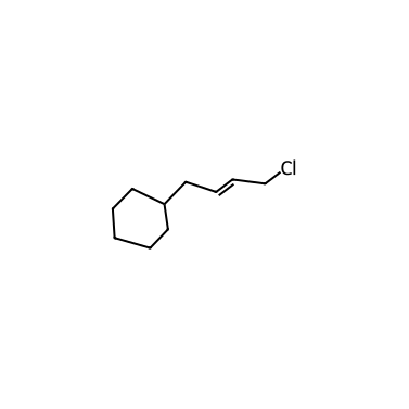 ClCC=CCC1CCCCC1